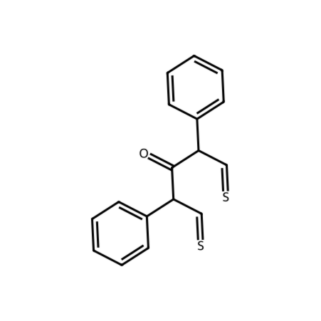 O=C(C(C=S)c1ccccc1)C(C=S)c1ccccc1